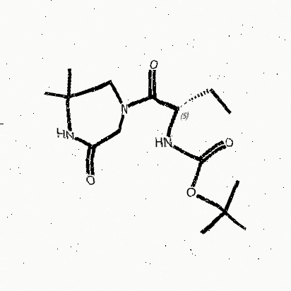 CC[C@H](NC(=O)OC(C)(C)C)C(=O)N1CC(=O)NC(C)(C)C1